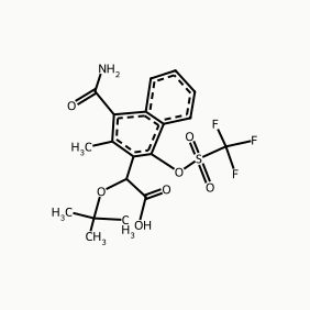 Cc1c(C(OC(C)(C)C)C(=O)O)c(OS(=O)(=O)C(F)(F)F)c2ccccc2c1C(N)=O